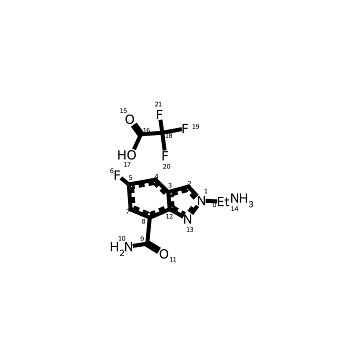 CCn1cc2cc(F)cc(C(N)=O)c2n1.N.O=C(O)C(F)(F)F